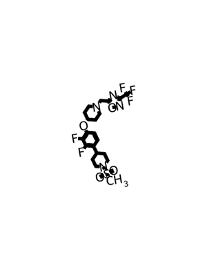 CS(=O)(=O)N1CCC(c2ccc(OC3CCN(Cc4nc(C(F)(F)F)no4)CC3)c(F)c2F)CC1